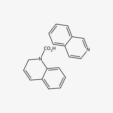 O=C(O)N1CC=Cc2ccccc21.c1ccc2cnccc2c1